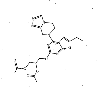 CCc1cc2c(N3CCn4cnnc4C3)nc(OCC(COC(C)=O)OC(C)=O)nc2s1